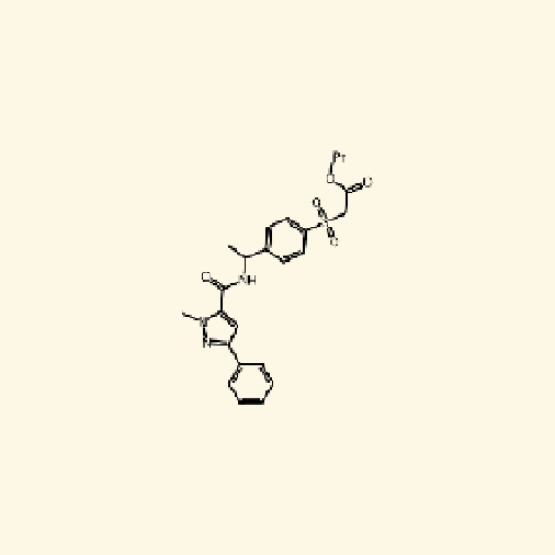 CC(C)OC(=O)CS(=O)(=O)c1ccc(C(C)NC(=O)c2cc(-c3ccccc3)nn2C)cc1